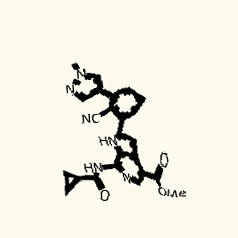 COC(=O)c1cnc(NC(=O)C2CC2)c2[nH]c(-c3cccc(-c4cnn(C)c4)c3C#N)cc12